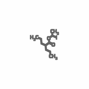 CCCC(CCC)C(=O)OC(C)I